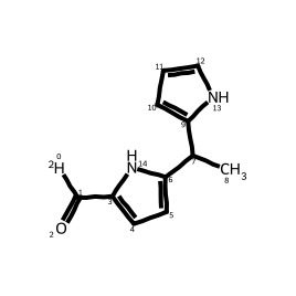 [2H]C(=O)c1ccc(C(C)c2ccc[nH]2)[nH]1